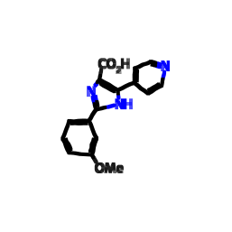 COc1cccc(-c2nc(C(=O)O)c(-c3ccncc3)[nH]2)c1